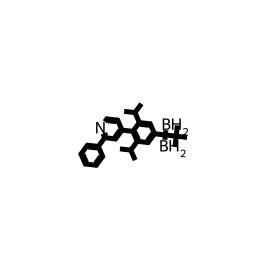 BC(B)(c1cc(C(C)C)c(-c2ccnc(-c3ccccc3)c2)c(C(C)C)c1)C(C)(C)C